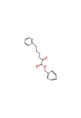 O=C(CCCCc1ccccc1)C(=O)OCc1ccccc1